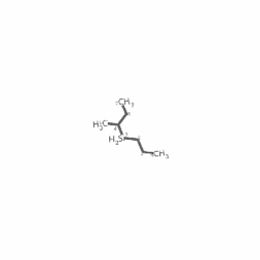 CCC[SiH2]C(C)CC